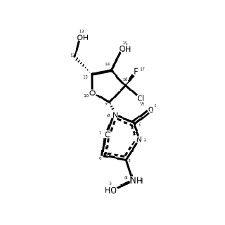 O=c1nc(NO)ccn1[C@@H]1O[C@H](CO)C(O)[C@]1(F)Cl